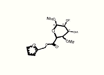 COC1C(C(=O)OCc2ccco2)O[C@@H](OC)[C@@H](O)[C@H]1O